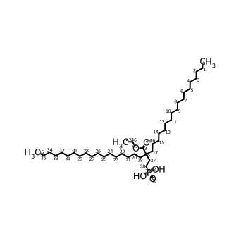 CCCCCCCCCCCCCCCCCCC(CCCCCCCCCCCCCCCCCC)(CCP(=O)(O)O)C(=O)OCC